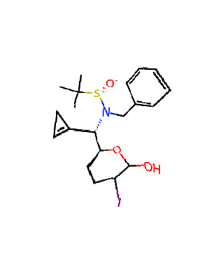 CC(C)(C)[S@+]([O-])N(Cc1ccccc1)[C@@H](C1=CC1)[C@@H]1CCC(I)C(O)O1